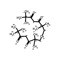 CC(C)(C)C(=O)CC(=O)C(C)(C)[CH2][Cu][CH2]C(C)(C)C(=O)CC(=O)C(C)(C)C